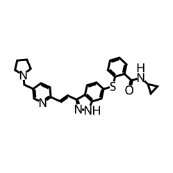 O=C(NC1CC1)c1ccccc1Sc1ccc2c(/C=C/c3ccc(CN4CCCC4)cn3)n[nH]c2c1